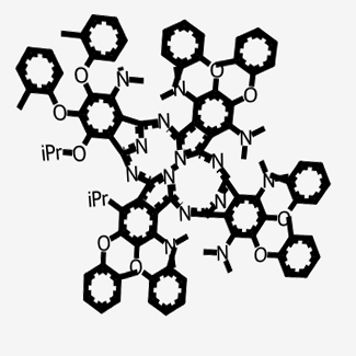 Cc1ccccc1Oc1c(OC(C)C)c2c(c(N(C)C)c1Oc1ccccc1C)-c1nc-2nc2c3c(C(C)C)c(Oc4ccccc4C)c(Oc4ccccc4C)c(N(C)C)c3c3nc4nc(nc5c6c(N(C)C)c(Oc7ccccc7C)c(Oc7ccccc7C)c(N(C)C)c6c(n1)n5n23)-c1c-4c(N(C)C)c(Oc2ccccc2C)c(Oc2ccccc2C)c1N(C)C